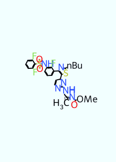 CCCCc1nc(-c2cccc(NS(=O)(=O)c3c(F)cccc3F)c2F)c(-c2ccnc(NC[C@H](C)NC(=O)OC)n2)s1